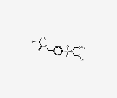 CCOCN(COC)S(=O)(=O)c1ccc(COC(=O)[C@@H](C)C(C)C)cc1